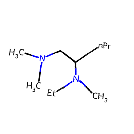 CCCC(CN(C)C)N(C)CC